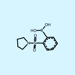 O=S(=O)(c1ccccc1B(O)O)N1CCCC1